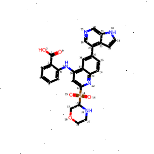 O=C(O)c1ccccc1Nc1cc(S(=O)(=O)C2COCCN2)nc2ccc(-c3cncc4[nH]ccc34)cc12